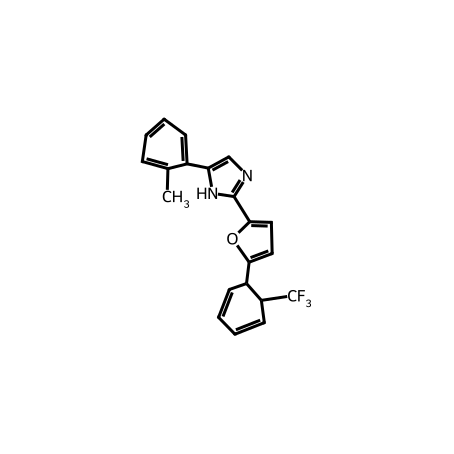 Cc1ccccc1-c1cnc(-c2ccc(C3C=CC=CC3C(F)(F)F)o2)[nH]1